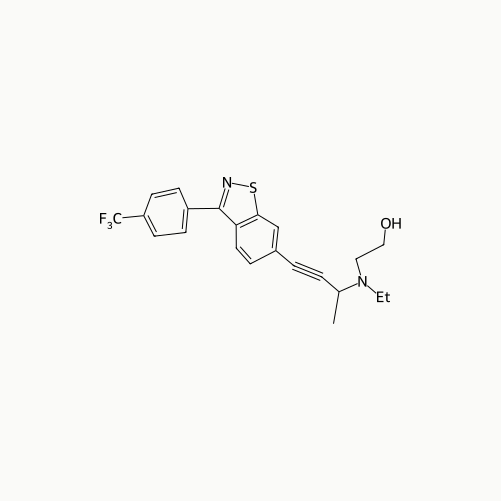 CCN(CCO)C(C)C#Cc1ccc2c(-c3ccc(C(F)(F)F)cc3)nsc2c1